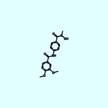 COc1ccc(C(=O)Nc2ccc(C(=O)N(C)O)cc2)cc1OC